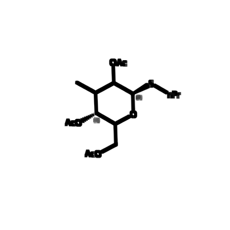 CCCS[C@H]1OC(COC(C)=O)[C@H](OC(C)=O)C(C)C1OC(C)=O